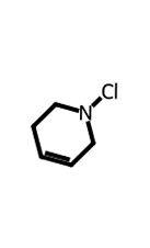 ClN1CC=CCC1